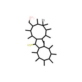 BCC1C(C)C(C)C(C(S)C2C(C)C(C)C(C)C(C)C(C)C(C)C2C)C(C)C(C)C(C)C(C)(CC)C1C